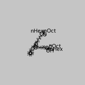 CCCCCCCCC(CCCCCC)C(=O)OCCCCCCOCC(COCc1ccccc1)OCCCCCCOC(O)C(CCCCCC)CCCCCCCC